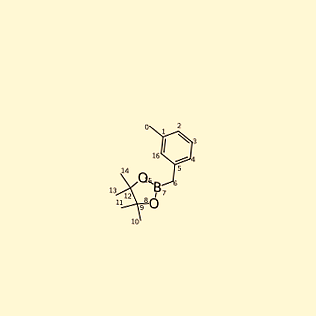 Cc1cccc(CB2OC(C)(C)C(C)(C)O2)c1